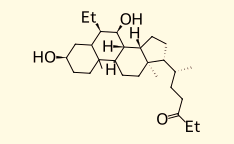 CCC(=O)CC[C@@H](C)[C@H]1CC[C@H]2[C@H]3[C@H](O)[C@H](CC)C4C[C@H](O)CCC4(C)[C@H]3CC[C@]12C